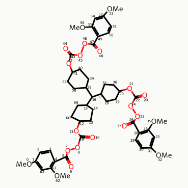 COc1ccc(C(=O)OOC(=O)OC2CCC(C(C3CCC(OC(=O)OOC(=O)c4ccc(OC)cc4OC)CC3)C3CCC(OC(=O)OOC(=O)c4ccc(OC)cc4OC)CC3)CC2)c(OC)c1